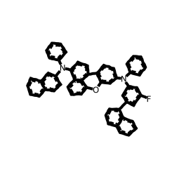 Fc1cc(-c2cccc3ccccc23)cc(N(c2ccccc2)c2ccc3c(c2)Oc2cccc4c(N(c5ccccc5)c5ccc6ccccc6c5)ccc-3c24)c1